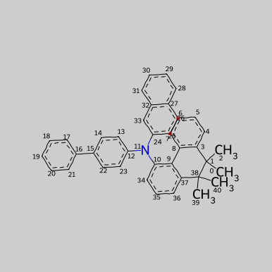 CC1(C)c2ccccc2-c2c(N(c3ccc(-c4ccccc4)cc3)c3ccc4ccccc4c3)cccc2C1(C)C